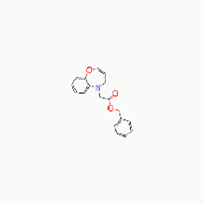 O=C(CN1CC=COc2ccccc21)OCc1ccccc1